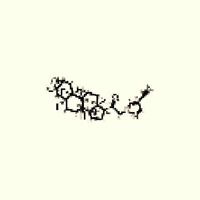 C[C@@]1(O)CC[C@@]2(F)[C@@H](CC[C@H]3[C@@H]4CC[C@H](C(=O)Cn5cc(C#N)cn5)[C@@]4(C)CC[C@@H]32)C1